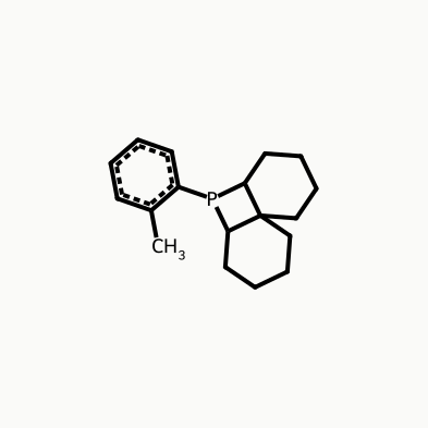 Cc1ccccc1P1C2CCCCC23CCCCC13